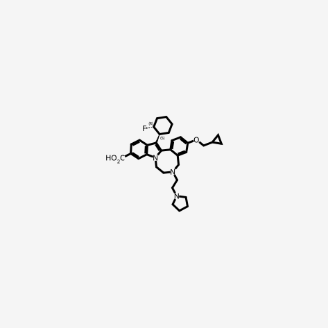 O=C(O)c1ccc2c([C@@H]3CCCC[C@H]3F)c3n(c2c1)CCN(CCN1CCCC1)Cc1cc(OCC2CC2)ccc1-3